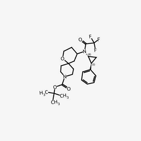 CC(C)(C)OC(=O)N1CCC2(CC1)CC(N(C(=O)C(F)(F)F)[C@@H]1C[C@H]1c1ccccc1)CCO2